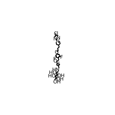 O=C(Cc1c(F)cc(OCCCC2CCN(c3ncc(Cl)cn3)CC2)cc1F)N1CC(CNC[C@H](O)[C@@H](O)[C@H](O)[C@H](O)CO)C1